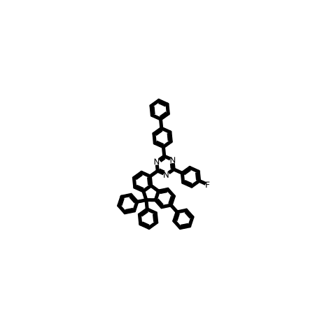 Fc1ccc(-c2nc(-c3ccc(-c4ccccc4)cc3)nc(-c3cccc4c3-c3ccc(-c5ccccc5)cc3C4(c3ccccc3)c3ccccc3)n2)cc1